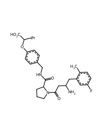 Cc1ccc(F)cc1CC(N)CC(=O)N1CCCC1C(=O)NCc1ccc(OC(C(=O)O)C(C)C)cc1